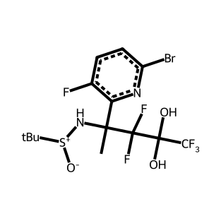 CC(C)(C)[S+]([O-])NC(C)(c1nc(Br)ccc1F)C(F)(F)C(O)(O)C(F)(F)F